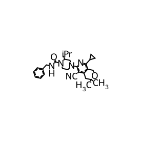 CC(C)C1CN(c2nc(C3CC3)c3c(c2C#N)CC(C)(C)OC3)CCN1C(=O)NCc1ccccc1